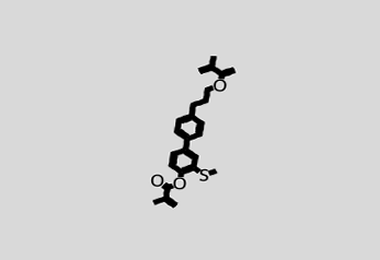 C=C(C)C(=C)OCCCc1ccc(-c2ccc(OC(=O)C(=C)C)c(SC)c2)cc1